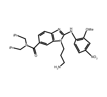 COc1cc([N+](=O)[O-])ccc1Nc1nc2ccc(C(=O)N(CC(C)C)CC(C)C)cc2n1CCCN